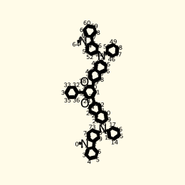 Cn1c2ccccc2c2cc(N(c3ccccc3)c3ccc4cc5c(cc4c3)oc3c(-c4ccccc4)c4oc6cc7cc(N(c8ccccc8)c8ccc9c(c8)c8ccccc8n9C)ccc7cc6c4cc35)ccc21